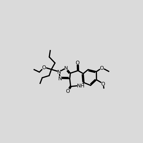 CCCC(CCC)(OCC)n1nc2c(=O)[nH]c3cc(OC)c(OC)cc3c(=O)c2n1